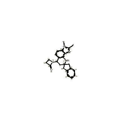 Cc1nc2c3c(ccc2n1C)C(N1CCC1=O)CC1(Cc2ccccc2C1)N3